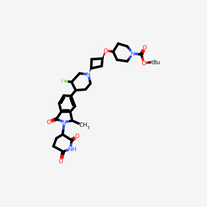 CC1c2cc(C3CCN([C@H]4C[C@H](OC5CCN(C(=O)OC(C)(C)C)CC5)C4)CC3F)ccc2C(=O)N1C1CCC(=O)NC1=O